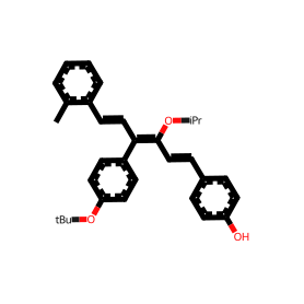 Cc1ccccc1C=CC(=C(C=Cc1ccc(O)cc1)OC(C)C)c1ccc(OC(C)(C)C)cc1